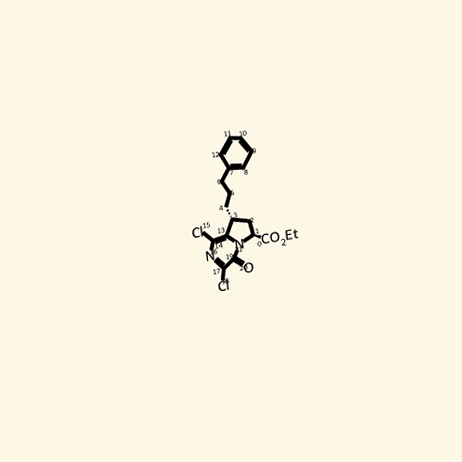 CCOC(=O)[C@@H]1C[C@@H](CCCc2ccccc2)c2c(Cl)nc(Cl)c(=O)n21